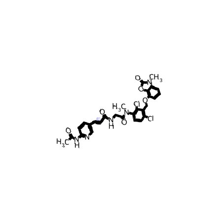 CC(=O)Nc1ccc(/C=C/C(=O)NCC(=O)N(C)c2ccc(Cl)c(COc3cccc4c3oc(=O)n4C)c2Cl)cn1